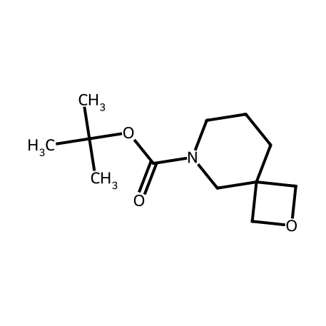 CC(C)(C)OC(=O)N1CCCC2(COC2)C1